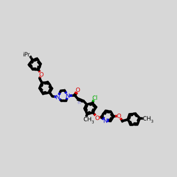 Cc1ccc(COc2ccc(Oc3cc(Cl)c(/C=C/C(=O)N4CCN(Cc5ccc(COc6ccc(C(C)C)cc6)cc5)CC4)cc3C)nc2)cc1